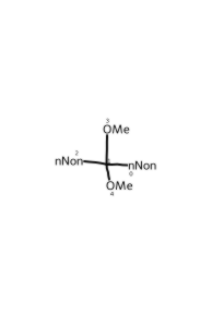 CCCCCCCCCC(CCCCCCCCC)(OC)OC